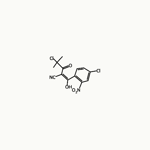 CC(C)(Cl)C(=O)C(C#N)=C(O)c1ccc(Cl)cc1[N+](=O)[O-]